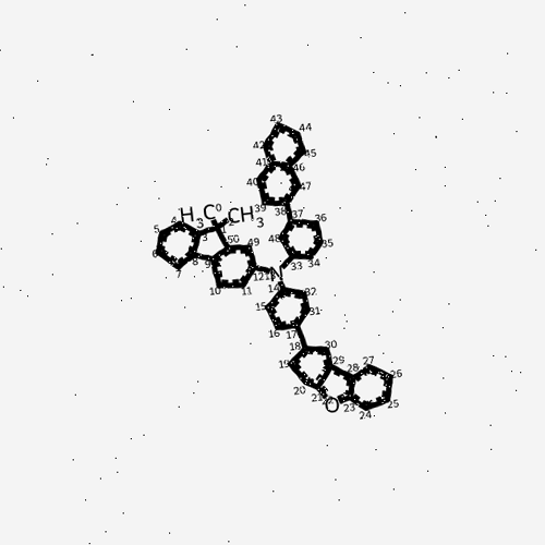 CC1(C)c2ccccc2-c2ccc(N(c3ccc(-c4ccc5oc6ccccc6c5c4)cc3)c3cccc(-c4ccc5ccccc5c4)c3)cc21